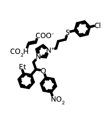 CCc1ccccc1C(Cn1cc[n+](CCCSc2ccc(Cl)cc2)c1)Oc1ccc([N+](=O)[O-])cc1.O=C([O-])C=CC(=O)O